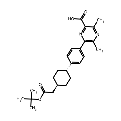 Cc1nc(C)c(-c2ccc([C@H]3CC[C@H](CC(=O)OC(C)(C)C)CC3)cc2)nc1C(=O)O